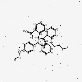 CCCCn1c(C)c(C2(N(c3ccccc3)c3ccc(OCC)cc3)OC(=O)c3ccccc32)c2ccccc21